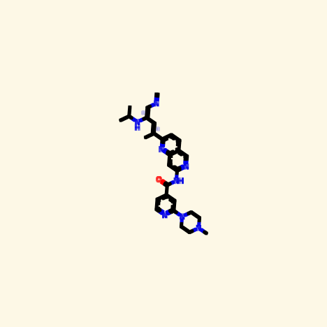 C=N/C=C(\C=C(/C)c1ccc2cnc(NC(=O)c3ccnc(N4CCN(C)CC4)c3)cc2n1)NC(C)C